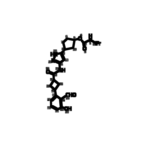 CC(C)NC(=O)O[C@@H]1CC[C@H](c2cc(NC(=O)C3CC(c4cccc(O)c4C=O)C3)n[nH]2)C1